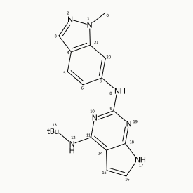 Cn1ncc2ccc(Nc3nc(NC(C)(C)C)c4cc[nH]c4n3)cc21